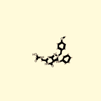 COc1ccc(Cn2nc3nc(CNC(=O)O)[nH]c(=O)c3c2Nc2ccccc2)cc1